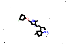 C=CC(C/C=C1/C=C(COc2cccc(F)c2)N=C1C)c1cc(C)ccc1N